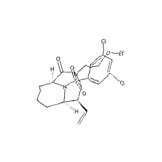 C=C[C@@H]1CN(CCOCC)C(=O)[C@@H]2CCC[C@H]1N2S(=O)(=O)c1cc(Cl)cc(Cl)c1